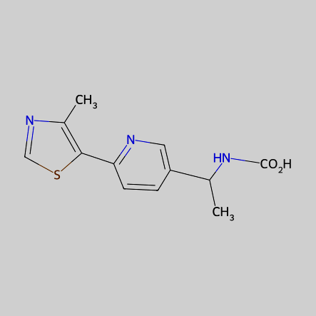 Cc1ncsc1-c1ccc(C(C)NC(=O)O)cn1